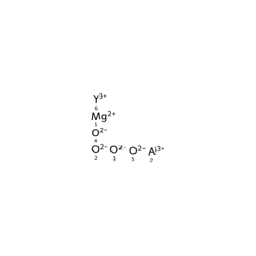 [Al+3].[Mg+2].[O-2].[O-2].[O-2].[O-2].[Y+3]